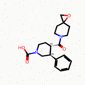 O=C(O)N1CC[C@H](C(=O)N2CCC3(CC2)CO3)[C@@H](c2ccccc2)C1